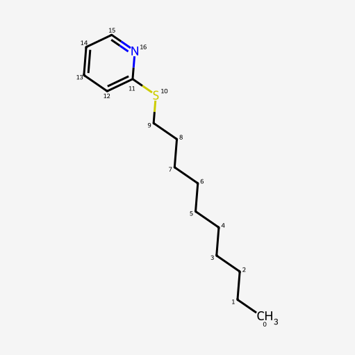 CCCCCCCCCCSc1ccccn1